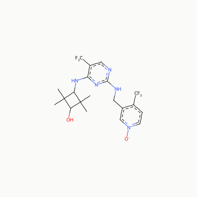 CC1(C)C(O)C(C)(C)C1Nc1nc(NCc2c[n+]([O-])ccc2C(F)(F)F)ncc1C(F)(F)F